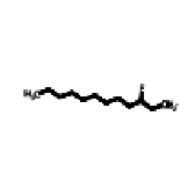 [CH2]CC(F)CCCCCCCCC